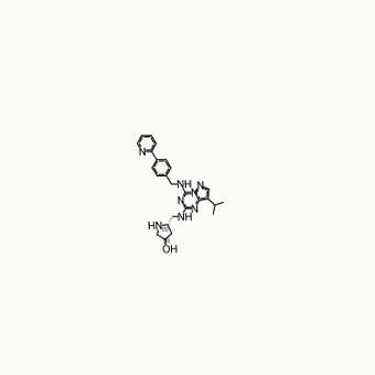 CC(C)c1cnn2c(NCc3ccc(-c4ccccn4)cc3)nc(NC[C@@H]3C[C@@H](O)CN3)nc12